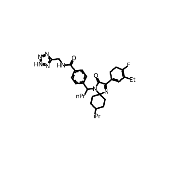 CCCC(c1ccc(C(=O)NCc2nn[nH]n2)cc1)N1C(=O)C(C2=CC(CC)=C(F)CC2)=NC12CCC(C(C)C)CC2